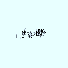 Cc1cc(Cc2nnc3cc(-c4ccnc(Nc5ccnn5C)n4)ccn23)n(C)n1